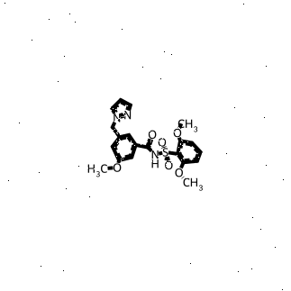 COc1cc(Cn2cccn2)cc(C(=O)NS(=O)(=O)c2c(OC)cccc2OC)c1